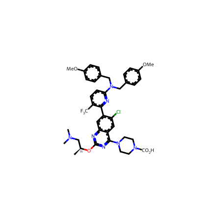 COc1ccc(CN(Cc2ccc(OC)cc2)c2ccc(C(F)(F)F)c(-c3cc4nc(O[C@@H](C)CN(C)C)nc(N5CCN(C(=O)O)CC5)c4cc3Cl)n2)cc1